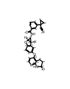 N#CC1(c2cccc(C(=O)N[C@@H]3[C@H]4Oc5ccc(Oc6ccnc7c6CCC(=O)N7)cc5[C@@H]34)c2)CC1